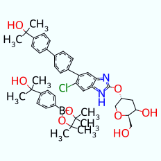 CC(C)(O)c1ccc(-c2ccc(-c3cc4nc(O[C@H]5CO[C@H](CO)C(O)C5)[nH]c4cc3Cl)cc2)cc1.CC(C)(O)c1ccc(B2OC(C)(C)C(C)(C)O2)cc1